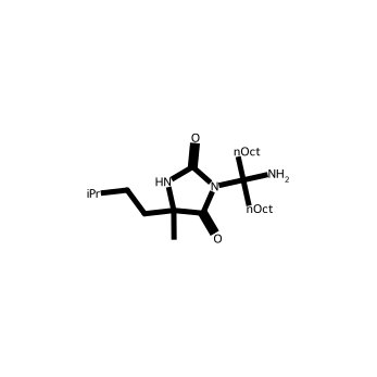 CCCCCCCCC(N)(CCCCCCCC)N1C(=O)NC(C)(CCC(C)C)C1=O